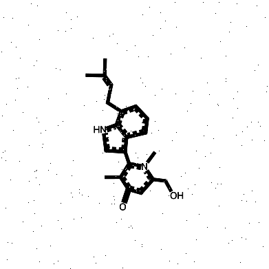 CC(C)=CCc1cccc2c(-c3c(C)c(=O)cc(CO)n3C)c[nH]c12